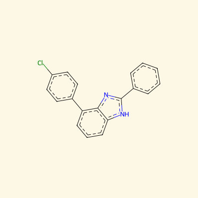 Clc1ccc(-c2cccc3[nH]c(-c4ccccc4)nc23)cc1